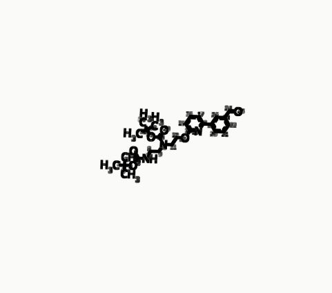 CC(C)(C)OC(=O)NCCN(CCOc1cccc(-c2cccc(C=O)c2)n1)C(=O)OC(C)(C)C